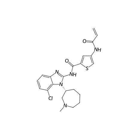 C=CC(=O)Nc1csc(C(=O)Nc2nc3cccc(Cl)c3n2[C@@H]2CCCCN(C)C2)c1